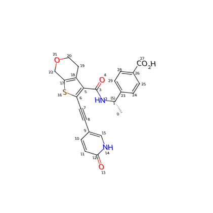 C[C@H](NC(=O)c1c(C#Cc2ccc(=O)[nH]c2)sc2c1CCOC2)c1ccc(C(=O)O)cc1